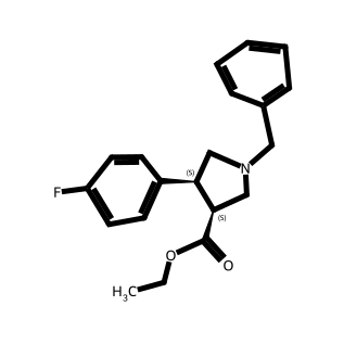 CCOC(=O)[C@@H]1CN(Cc2ccccc2)C[C@@H]1c1ccc(F)cc1